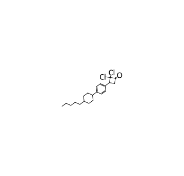 CCCCCC1CCC(c2ccc(C3CC(=O)C3(Cl)Cl)cc2)CC1